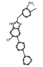 Cc1ccc(Cc2nc3cc(-c4ccc(-c5ccccc5)cc4)c(Cl)cc3[nH]2)cc1P